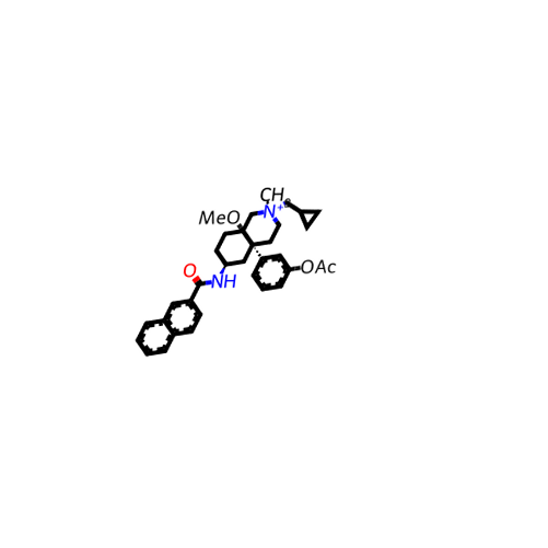 COC12CC[C@H](NC(=O)c3ccc4ccccc4c3)C[C@]1(c1cccc(OC(C)=O)c1)CC[N@+](C)(CC1CC1)C2